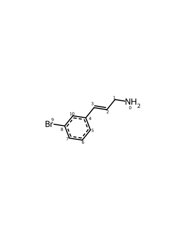 NC/C=C/c1cccc(Br)c1